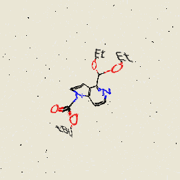 CCOC(OCC)c1nccc2c1ccn2C(=O)OC(C)(C)C